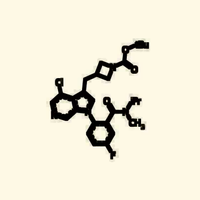 CC(C)N(C)C(=O)c1cc(F)ccc1-n1cc(CC2CN(C(=O)OC(C)(C)C)C2)c2c(Cl)cncc21